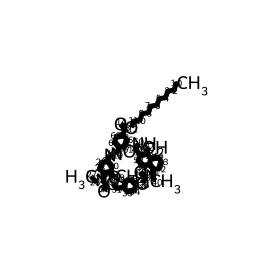 CCCCCCCCCCCCOC(=O)c1ccc(N=Nc2ccc(N(CC)C(=O)OCc3ccc(OC(=O)N(C)c4cccc5c(O)c(C(N)=O)ccc45)cc3)c(OC)c2)cc1